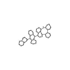 c1ccc2c(c1)Sc1cccc3c(-c4c5ccccc5c(-c5ccc6ccccc6c5)c5ccccc45)ccc(c13)-c1ccccc1-2